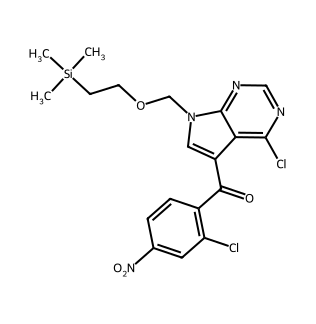 C[Si](C)(C)CCOCn1cc(C(=O)c2ccc([N+](=O)[O-])cc2Cl)c2c(Cl)ncnc21